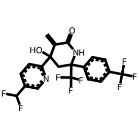 C=C1C(=O)NC(c2ccc(C(F)(F)F)cc2)(C(F)(F)F)CC1(O)c1ccc(C(F)F)cn1